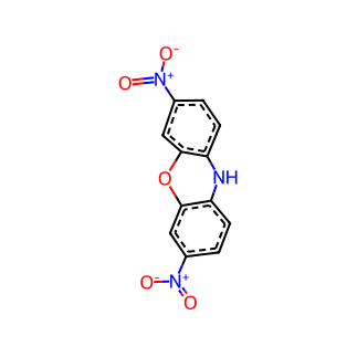 O=[N+]([O-])c1ccc2c(c1)Oc1cc([N+](=O)[O-])ccc1N2